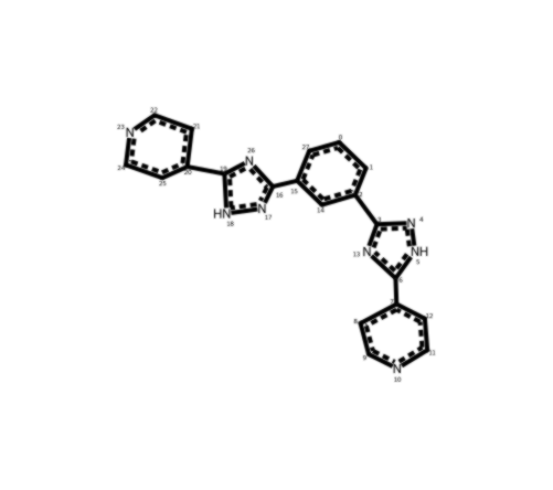 c1cc(-c2n[nH]c(-c3ccncc3)n2)cc(-c2n[nH]c(-c3ccncc3)n2)c1